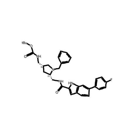 CC(C)(C)OC(=O)NC[C@H]1C[C@@H](CNC(=O)c2cc3ccc(-c4ccc(F)cc4)cc3[nH]2)N(Cc2ccccc2)C1